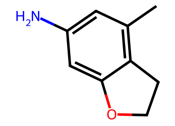 Cc1cc(N)cc2c1CCO2